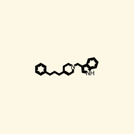 C1=C(CCCc2ccccc2)CCN(Cc2c[nH]c3ccccc23)C1